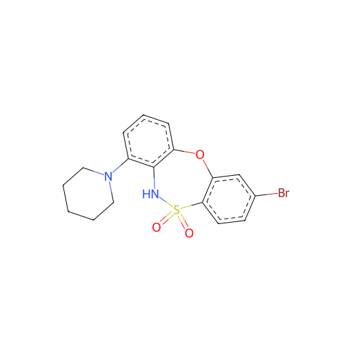 O=S1(=O)Nc2c(cccc2N2CCCCC2)Oc2cc(Br)ccc21